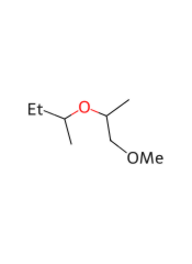 CCC(C)OC(C)COC